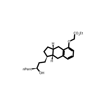 CCCCC[C@H](O)CC[C@H]1CC[C@@H]2Cc3c(cccc3OCC(=O)OCC)C[C@H]12